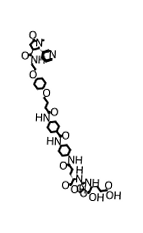 CN1C(=O)C[C@H](C(=O)NCCOC2CCC(OCCCC(=O)NC3CCC(C(=O)NC4CCC(NC(=O)CC[C@H](NC(=O)N[C@@H](CCC(=O)O)C(=O)O)C(=O)O)CC4)CC3)CC2)[C@H]1c1cccnc1